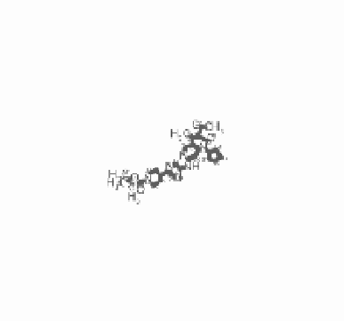 CC(=O)c1c(C)c2cnc(Nc3cnc(C4CCN(C(=O)OC(C)(C)C)CC4)cn3)cc2n(C2CCCC2)c1=O